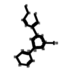 C/C=C(\C=C/CC)c1cc(I)cc(C2=CCCC=C2)c1